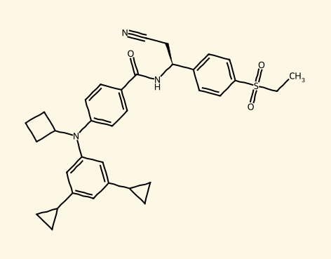 CCS(=O)(=O)c1ccc([C@H](CC#N)NC(=O)c2ccc(N(c3cc(C4CC4)cc(C4CC4)c3)C3CCC3)cc2)cc1